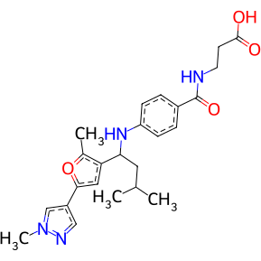 Cc1oc(-c2cnn(C)c2)cc1C(CC(C)C)Nc1ccc(C(=O)NCCC(=O)O)cc1